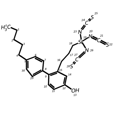 CCCCCc1ccc(-c2ccc(O)cc2CCC[Si](N=C=S)(N=C=S)N=C=S)cc1